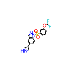 O=S(=O)(c1cccc(OC(F)F)c1)n1ncc2cc(C3CNC3)ccc21